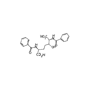 O=C(NC(CCC(O)C(NC(=O)c1ccccc1)C(=O)O)C(=O)O)c1ccccc1